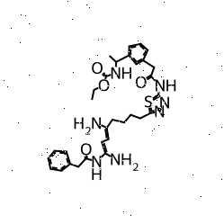 CCOC(=O)NC(C)c1cccc(CC(=O)Nc2nnc(CCCC/C(N)=C/C=C(\N)NC(=O)Cc3ccccc3)s2)c1